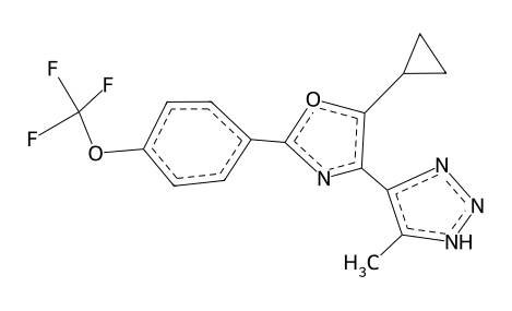 Cc1[nH]nnc1-c1nc(-c2ccc(OC(F)(F)F)cc2)oc1C1CC1